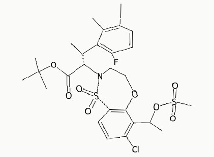 Cc1ccc(F)c(C(C)[C@@H](C(=O)OC(C)(C)C)N2CCOc3c(ccc(Cl)c3C(C)OS(C)(=O)=O)S2(=O)=O)c1C